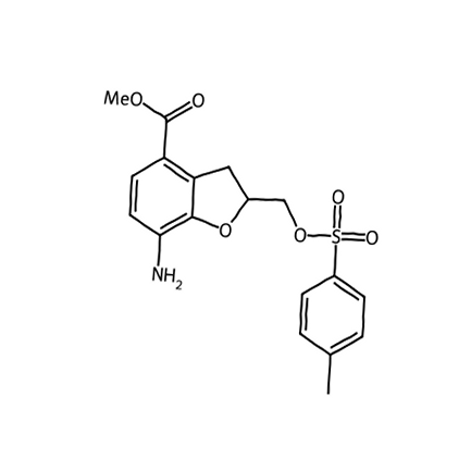 COC(=O)c1ccc(N)c2c1CC(COS(=O)(=O)c1ccc(C)cc1)O2